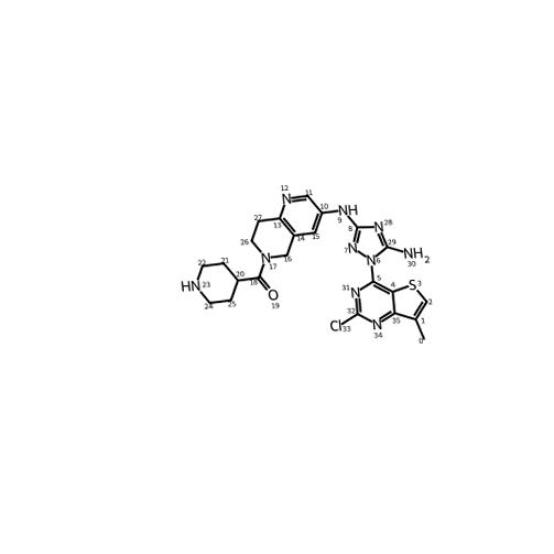 Cc1csc2c(-n3nc(Nc4cnc5c(c4)CN(C(=O)C4CCNCC4)CC5)nc3N)nc(Cl)nc12